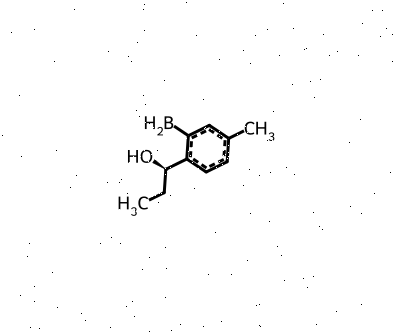 Bc1cc(C)ccc1[C@H](O)CC